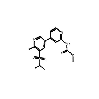 COC(=O)Nc1cc(-c2cnc(C)c(S(=O)(=O)C(C)C)c2)ccn1